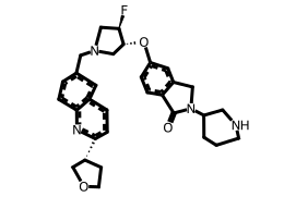 O=C1c2ccc(O[C@@H]3CN(Cc4ccc5nc([C@@H]6CCOC6)ccc5c4)C[C@H]3F)cc2CN1C1CCCNC1